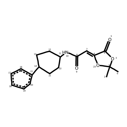 CC1(C)OC(=O)/C(=C/C(=O)NC2CCC(c3ccccc3)CC2)O1